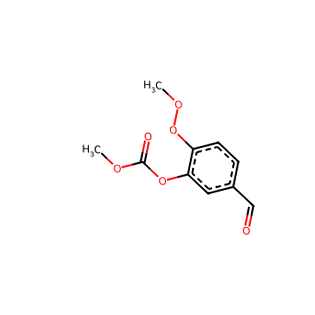 COOc1ccc(C=O)cc1OC(=O)OC